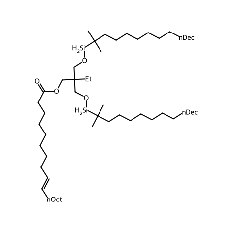 CCCCCCCCC=CCCCCCCCC(=O)OCC(CC)(CO[SiH2]C(C)(C)CCCCCCCCCCCCCCCCC)CO[SiH2]C(C)(C)CCCCCCCCCCCCCCCCC